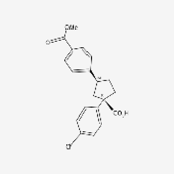 COC(=O)c1ccc([C@H]2CC[C@](C(=O)O)(c3ccc(Cl)cc3)C2)cc1